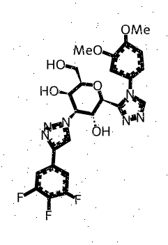 COc1ccc(-n2cnnc2[C@@H]2O[C@H](CO)[C@H](O)[C@H](n3cc(-c4cc(F)c(F)c(F)c4)nn3)[C@H]2O)cc1OC